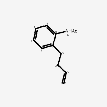 C=CCCc1ccccc1NC(C)=O